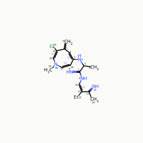 C=C1/C=C(NC(C)C(=N)N/C=C(/CC)C(C)=N)\C=C/N(C)/C=C\1Cl